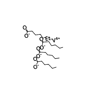 CCCCCC(=O)[O-].CCCCCC(=O)[O-].CCCCCC(=O)[O-].CCCCCC(=O)[O-].C[CH2][V+4]